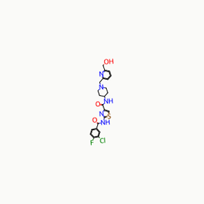 O=C(Nc1nc(C(=O)NC2CCN(Cc3cccc(CO)n3)CC2)cs1)c1ccc(F)c(Cl)c1